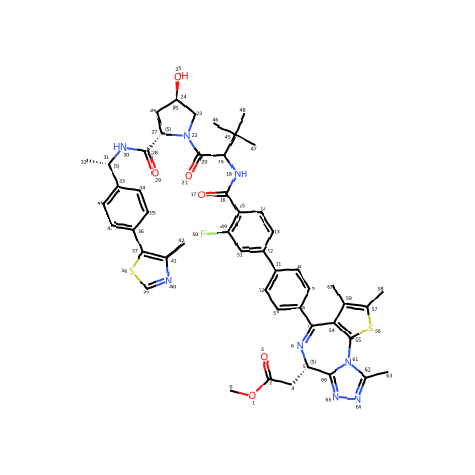 COC(=O)C[C@@H]1N=C(c2ccc(-c3ccc(C(=O)NC(C(=O)N4C[C@H](O)C[C@H]4C(=O)N[C@@H](C)c4ccc(-c5scnc5C)cc4)C(C)(C)C)c(F)c3)cc2)c2c(sc(C)c2C)-n2c(C)nnc21